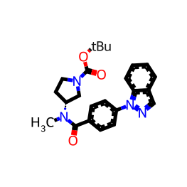 CN(C(=O)c1ccc(-n2ncc3ccccc32)cc1)[C@@H]1CCN(C(=O)OC(C)(C)C)C1